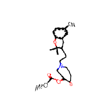 COC(=O)OC1CN(CCC2Cc3cc(C#N)ccc3OC2(C)C)CCC1=O